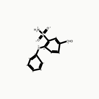 NS(=O)(=O)c1cc(C=O)ccc1Oc1ccccc1